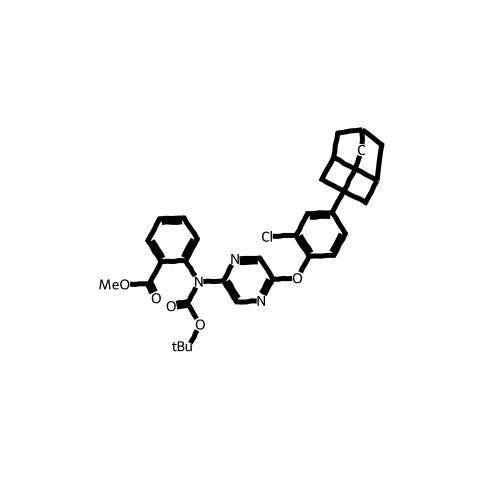 COC(=O)c1ccccc1N(C(=O)OC(C)(C)C)c1cnc(Oc2ccc(C34CC5CC6CC(C3)C54C6)cc2Cl)cn1